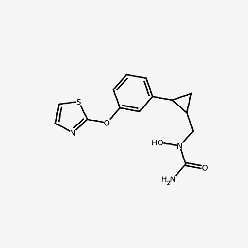 NC(=O)N(O)CC1CC1c1cccc(Oc2nccs2)c1